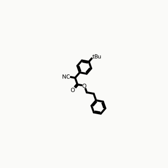 CC(C)(C)c1ccc(C(C#N)C(=O)OCCc2ccccc2)cc1